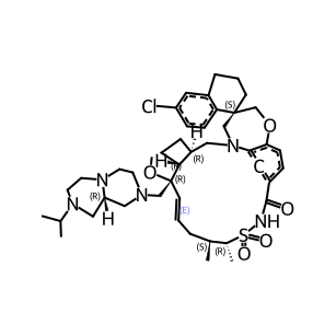 CO[C@@]1(CN2CCN3CCN(C(C)C)C[C@H]3C2)/C=C/C[C@H](C)[C@@H](C)S(=O)(=O)NC(=O)c2ccc3c(c2)N(C[C@@H]2CC[C@H]21)C[C@@]1(CCCc2cc(Cl)ccc21)CO3